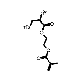 C=C(C)C(=O)OCCOC(=O)C(CC(C)(C)C)C(C)C